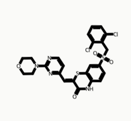 O=C1Nc2ccc(S(=O)(=O)Cc3c(Cl)cccc3Cl)cc2SC1=Cc1ccnc(N2CCOCC2)n1